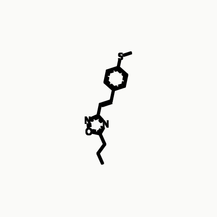 CCCc1nc(C=Cc2ccc(SC)cc2)no1